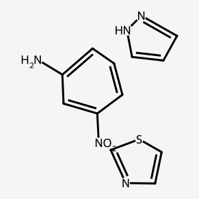 Nc1cccc([N+](=O)[O-])c1.c1cn[nH]c1.c1cscn1